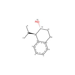 CC(C)[C@@H]1c2ccccc2CC[C@H]1O